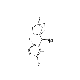 Cl.NC(c1c(F)ccc(Cl)c1F)C12CCC(F)(CC1)C2